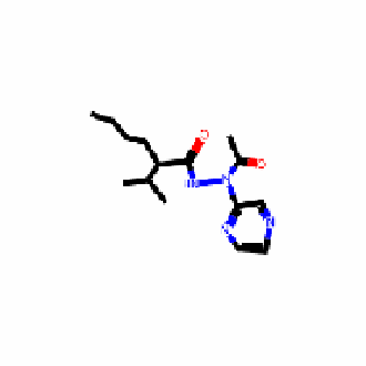 CCCCC(C(=O)NN(C(C)=O)c1cnccn1)C(C)C